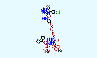 Cc1sc2c(c1C)C(c1ccc(Cl)cc1)=N[C@@H](CC(=O)Nc1ccc(OCCOCCOCCNC(=O)[C@@H](CCC(=O)OC(C)(C)C)NC(=O)[C@@H](CCC(=O)OC(C)(C)C)NC(=O)OCC3c4ccccc4-c4ccccc43)cc1)c1nnc(C)n1-2